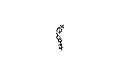 CC(C)(C)OCC1CC2CC(CN3CCN(C(C)(C)C)CC3)CC2C1